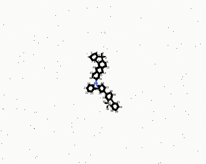 CC1(C)c2ccccc2-c2c1ccc1cc3cc(-n4c5ccccc5c5cc(-c6ccc7c(c6)[Si](C)(C)c6ccccc6-7)ccc54)ccc3cc21